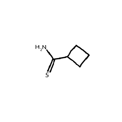 NC(=S)C1CCC1